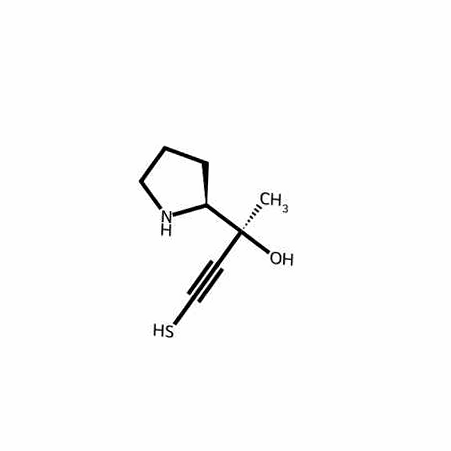 C[C@](O)(C#CS)[C@@H]1CCCN1